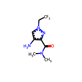 CN(C)C(=O)c1nn(CC(F)(F)F)cc1N